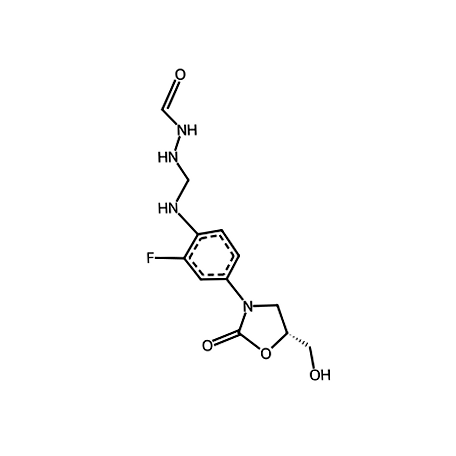 O=CNNCNc1ccc(N2C[C@H](CO)OC2=O)cc1F